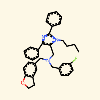 CCCCn1c(-c2ccccc2)nc(-c2ccccc2)c1CN(Cc1cccc(F)c1)Cc1ccc2c(c1)CCO2